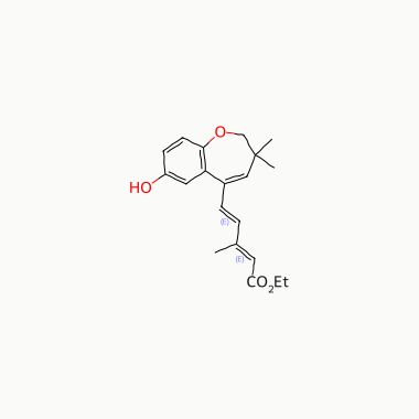 CCOC(=O)/C=C(C)/C=C/C1=CC(C)(C)COc2ccc(O)cc21